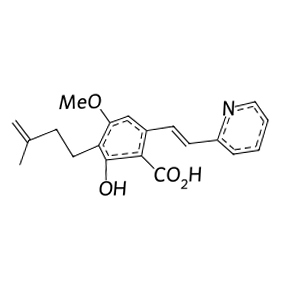 C=C(C)CCc1c(OC)cc(C=Cc2ccccn2)c(C(=O)O)c1O